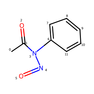 CC(=O)N(N=O)c1ccccc1